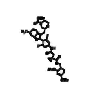 COC(=O)N1CCO[C@@H](Cc2c(-c3c(F)cc(NC(=O)CC4(C(=O)OCc5ccc(OC)cc5OC)CC4)cc3F)nc3cc(C)ccn23)C1